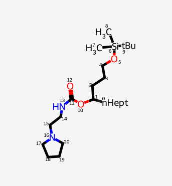 CCCCCCCC(CCCO[Si](C)(C)C(C)(C)C)OC(=O)NCCN1CCCC1